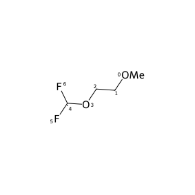 COCCO[C](F)F